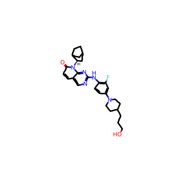 O=c1ccc2cnc(Nc3ccc(N4CCC(CCCO)CC4)cc3F)nc2n1[C@@H]1CC2CCC1C2